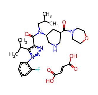 CC(C)CN(C(=O)c1nnn(-c2ccccc2F)c1C(C)C)[C@@H]1CNC[C@H](C(=O)N2CCOCC2)C1.O=C(O)C=CC(=O)O